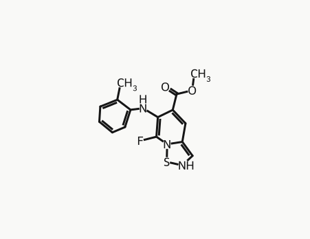 COC(=O)C1=CC2=CNSN2C(F)=C1Nc1ccccc1C